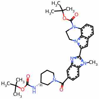 Cn1c(-c2cc3cccc4c3n2CCN4C(=O)OC(C)(C)C)nc2cc(C(=O)N3CCC[C@@H](NC(=O)OC(C)(C)C)C3)ccc21